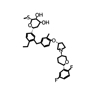 CCc1ccc([C@H]2C[C@@H](O)[C@H](O)[C@@H](SC)O2)cc1Cc1ccc(O[C@@H]2CCN([C@@H]3CC[C@@H](c4cc(F)ccc4F)OC3)C2)c(C)c1